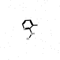 CCNc1ncccc1I